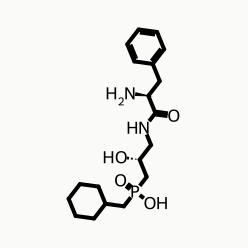 N[C@@H](Cc1ccccc1)C(=O)NC[C@@H](O)CP(=O)(O)CC1CCCCC1